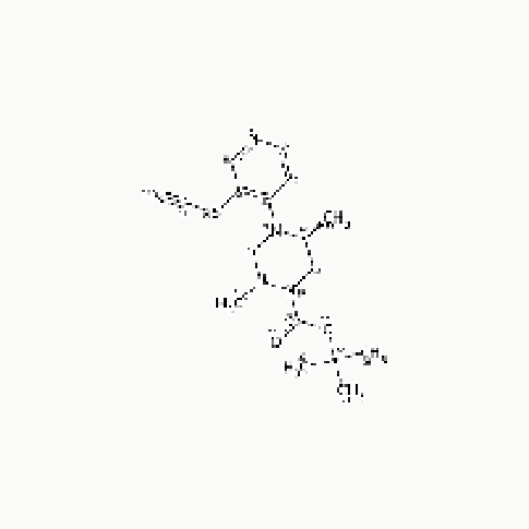 C[C@@H]1CN(c2ccncc2SC#N)[C@@H](C)CN1C(=O)OC(C)(C)C